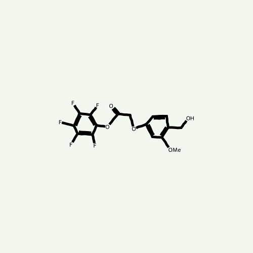 COc1cc(OCC(=O)Oc2c(F)c(F)c(F)c(F)c2F)ccc1CO